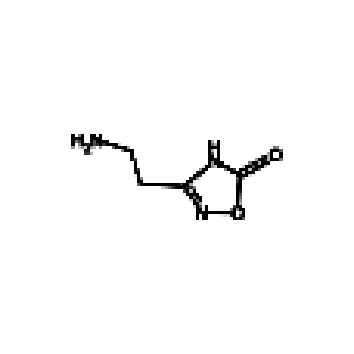 NCCc1noc(=O)[nH]1